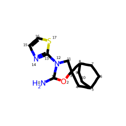 NC1OC2(CC3CCC2CC3)CN1c1nccs1